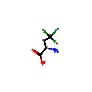 N[C@@H](CC(F)(F)F)C(=O)O